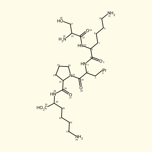 CC(C)CC(NC(=O)C(CCCCN)NC(=O)C(N)CO)C(=O)N1CCCC1C(=O)NC(CCCCN)C(=O)O